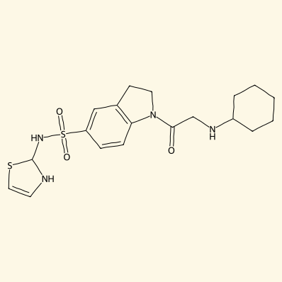 O=C(CNC1CCCCC1)N1CCc2cc(S(=O)(=O)NC3NC=CS3)ccc21